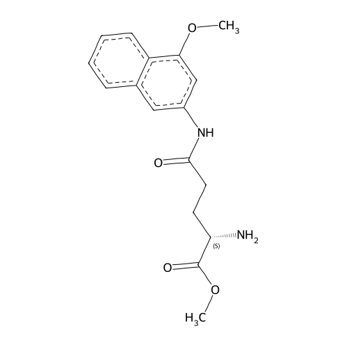 COC(=O)[C@@H](N)CCC(=O)Nc1cc(OC)c2ccccc2c1